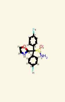 N[S+]([O-])C(c1ccc(F)cc1)(c1ccc(F)cc1)c1ncco1